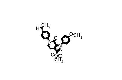 CNc1ccc(N2CCc3c(S(C)(=O)=O)nn(-c4ccc(OC)cc4)c3C2=O)cc1